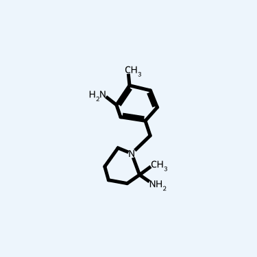 Cc1ccc(CN2CCCCC2(C)N)cc1N